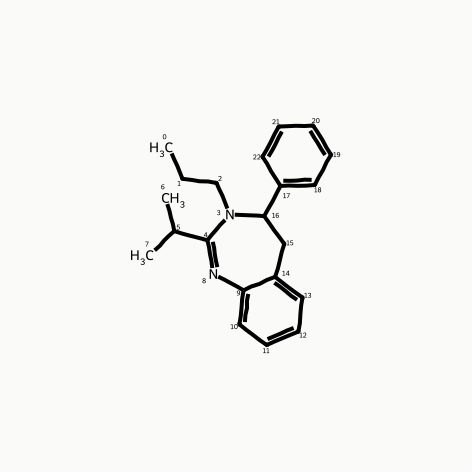 CCCN1C(C(C)C)=Nc2ccccc2CC1c1ccccc1